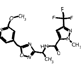 COc1cc(-c2nc(C(C)NC(=O)c3cc(C(F)(F)F)nn3C)no2)ccn1